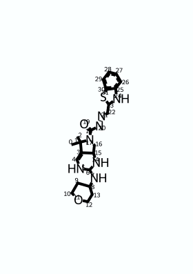 CC1(C)C2=CNC(NC3CCOCC3)NC2CN1C(=O)N=NCC1Nc2ccccc2S1